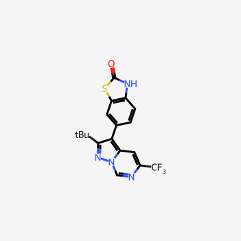 CC(C)(C)c1nn2cnc(C(F)(F)F)cc2c1-c1ccc2[nH]c(=O)sc2c1